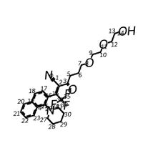 N#C/C(C(=O)CCCOCCOCCO)=C(\c1ccc2ccccc2c1N1CCCCC1)C(F)(F)F